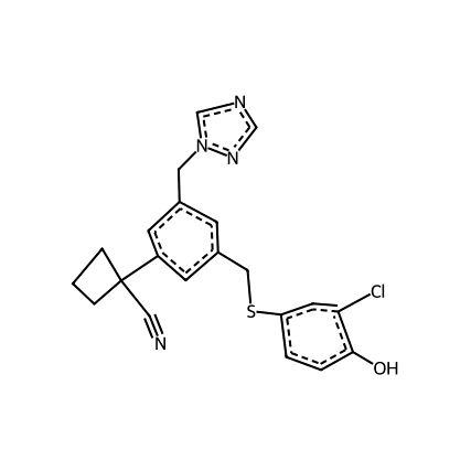 N#CC1(c2cc(CSc3ccc(O)c(Cl)c3)cc(Cn3cncn3)c2)CCC1